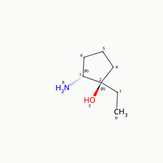 CC[C@@]1(O)CCC[C@H]1N